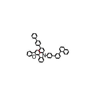 c1ccc(-c2ccc(-c3ccc(N(c4ccc(-c5cccc(-c6cccc7ccccc67)c5)cc4)c4ccccc4-c4cccc5c4oc4ccccc45)cc3)cc2)cc1